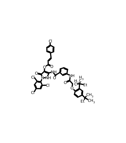 CCC(C)(C)c1ccc(OCC(=O)Nc2cccc(C(=O)Nc3[nH]n(-c4c(Cl)cc(Cl)cc4Cl)c(=O)c3OC(=O)C=Cc3ccc(Cl)cc3)c2)c(C(C)(C)CC)c1